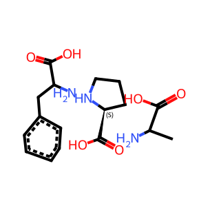 CC(N)C(=O)O.NC(Cc1ccccc1)C(=O)O.O=C(O)[C@@H]1CCCN1